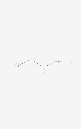 B[SiH2][SiH2][SiH3].[LiH]